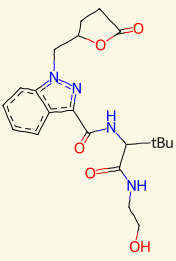 CC(C)(C)C(NC(=O)c1nn(CC2CCC(=O)O2)c2ccccc12)C(=O)NCCO